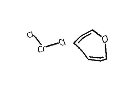 [Cl][Cr][Cl].c1ccoc1